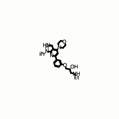 CCNCC(O)COc1cccc(-c2cc(N3CCOCC3)c(C=N)c(NC(C)C)n2)c1